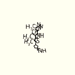 Cc1c(C2CCC3(CNC3)C2)sc2[nH]c(-c3cc(C)c4ncnn4c3)c(C(C)C)c12